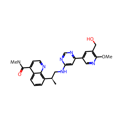 CNC(=O)c1ccnc2c([C@H](C)CNc3cc(-c4cnc(OC)c(CO)c4)ncn3)cccc12